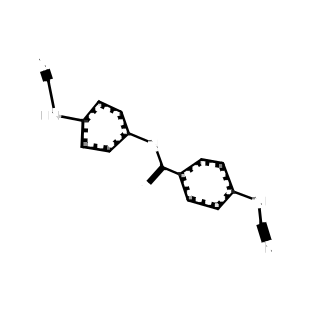 N#CNc1ccc(NC(=O)c2ccc(NC#N)cc2)cc1